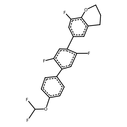 Fc1cc(-c2cc(F)c3c(c2)CCCO3)c(F)cc1-c1ccc(OC(F)F)cc1